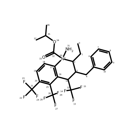 CCC1C(Cc2ccccc2)C(C(F)(F)F)c2c(ccc(C(F)(F)F)c2C(F)(F)F)[N+]1(N)C(=O)OC(C)C